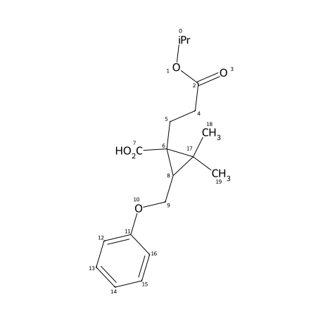 CC(C)OC(=O)CCC1(C(=O)O)C(COc2ccccc2)C1(C)C